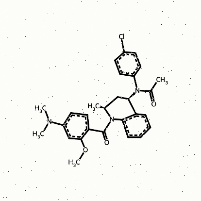 COc1cc(N(C)C)ccc1C(=O)N1c2ccccc2[C@H](N(C(C)=O)c2ccc(Cl)cc2)C[C@@H]1C